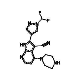 N#Cc1c(-c2cnn(C(F)F)c2)[nH]c2nccc(N3CCNCC3)c12